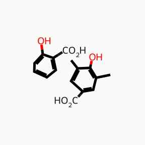 Cc1cc(C(=O)O)cc(C)c1O.O=C(O)c1ccccc1O